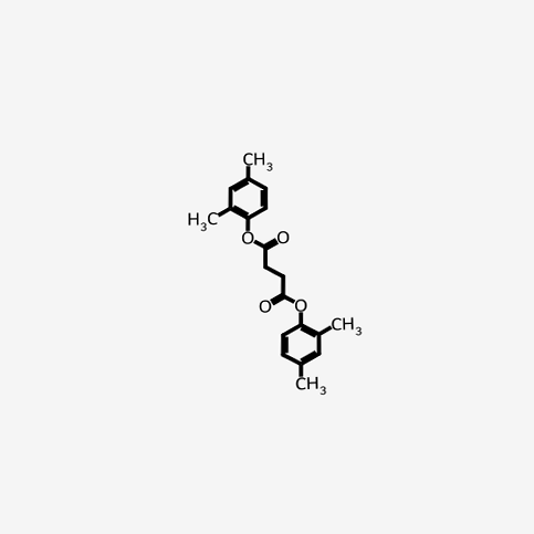 Cc1ccc(OC(=O)CCC(=O)Oc2ccc(C)cc2C)c(C)c1